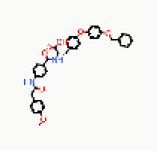 COc1ccc(CC(=O)Nc2ccc(C(=O)N[C@@H](Cc3ccc(Oc4ccc(OCc5ccccc5)cc4)cc3)C(=O)O)cc2)cc1